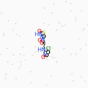 O=C1CSc2ccc(N3C[C@@H](CCCNC4Cn5c(=O)ccc6ccc(Cl)c4c65)OC3=O)nc2N1